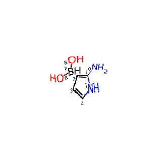 Nc1ccc[nH]1.OBO